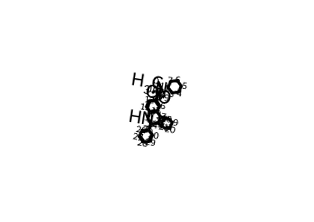 CN(C1CCCCC1)S(=O)(=O)c1ccc2c(c1)C1C3CCC(C3)C1C(c1ccccc1)N2